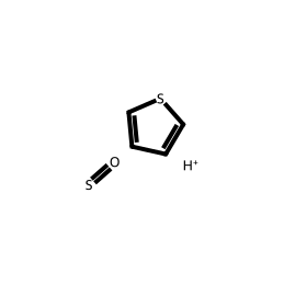 O=S.[H+].c1ccsc1